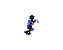 Cc1cc(-c2n[nH]c3cc(NC(=O)NC(CN)c4ccccc4)ncc23)ccn1